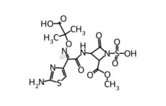 COC(=O)C1C(NC(=O)/C(=N\OC(C)(C)C(=O)O)c2csc(N)n2)C(=O)N1S(=O)(=O)O